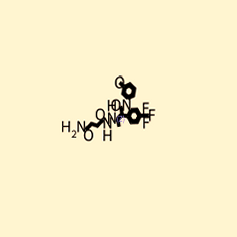 COc1cccc(N2C(=O)/C(=C(/C)NNC(=O)CCC(N)=O)c3ccc(C(F)(F)F)cc32)c1